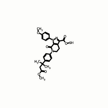 COC(=O)CC(C)(C)c1ccc(N2CCc3c(C(=O)OS)nn(-c4ccc(OC)cc4)c3C2=O)cc1